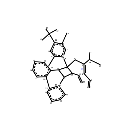 C=C/C=C(/CC1([n+]2cc(C)c(C(C)(C)C)cc2C)C(C=C)C2C1c1ccccc1-c1cccc[n+]12)C(C)C